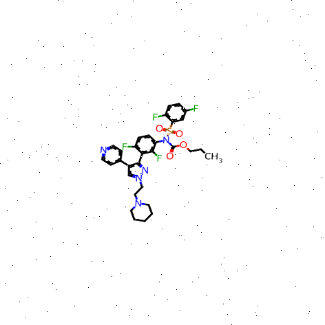 CCCOC(=O)N(c1ccc(F)c(-c2nn(CCN3CCCCC3)cc2-c2ccncc2)c1F)S(=O)(=O)c1cc(F)ccc1F